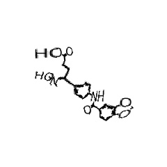 O=C(O)CCC(=NO)c1ccc(NC(=O)c2ccc3c(c2)OCO3)cc1